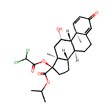 CC(C)OC(=O)[C@@]1(OC(=O)C(Cl)Cl)CC[C@H]2[C@@H]3CCC4=CC(=O)C=C[C@]4(C)[C@H]3[C@@H](O)C[C@@]21C